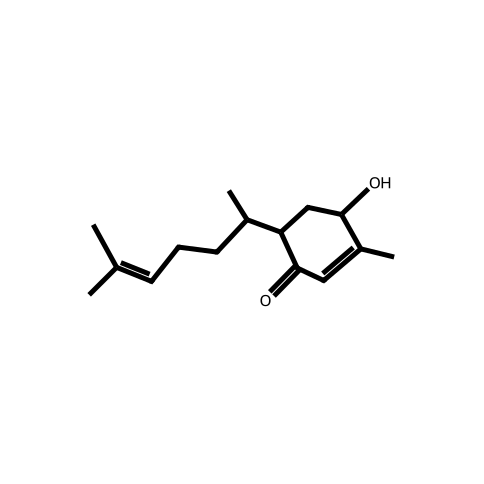 CC(C)=CCCC(C)C1CC(O)C(C)=CC1=O